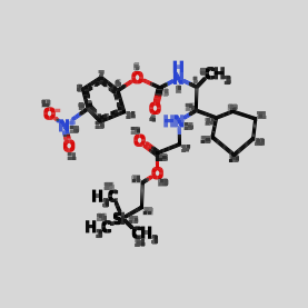 CC(NC(=O)Oc1ccc([N+](=O)[O-])cc1)C(NCC(=O)OCC[Si](C)(C)C)C1CCCCC1